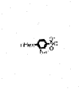 CCCCCCc1ccc(S(=O)(=O)[O-])cc1.[Na+]